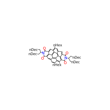 CCCCCCCCCCCC(CCCCCCCCCCC)n1c(=O)c2cc3ccc4c(CCCCCC)c5c(=O)n(C(CCCCCCCCCCC)CCCCCCCCCCC)c(=O)c6cc7cc(CCCCCC)c8cc(c1=O)c2c1c3c4c(c65)c7c81